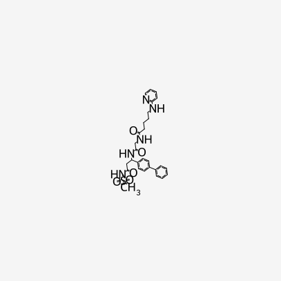 CS(=O)(=O)NC(=O)CC(NC(=O)CNC(=O)CCCCNc1ccccn1)c1ccc(-c2ccccc2)cc1